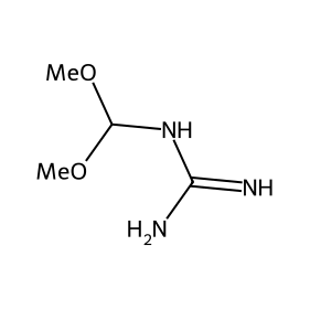 COC(NC(=N)N)OC